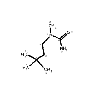 CN(CCC(C)(C)C)C(N)=O